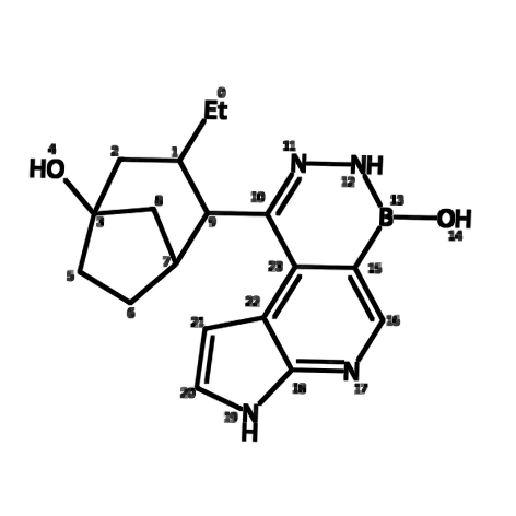 CCC1CC2(O)CCC(C2)C1C1=NNB(O)c2cnc3[nH]ccc3c21